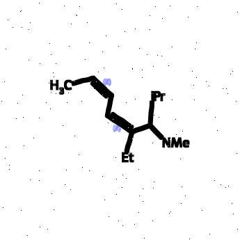 C/C=C\C=C(\CC)C(NC)C(C)C